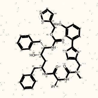 COc1cccc(-c2nc(CN(C)C(=O)N[C@H](C(=O)N[C@@H](Cc3ccccc3)C[C@H](O)[C@H](Cc3ccccc3)NC(=O)OCc3ccno3)C(C)C)cs2)c1